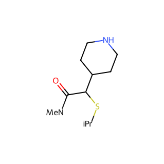 CNC(=O)C(SC(C)C)C1CCNCC1